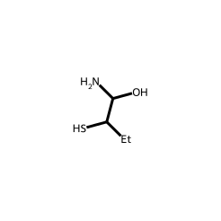 CCC(S)C(N)O